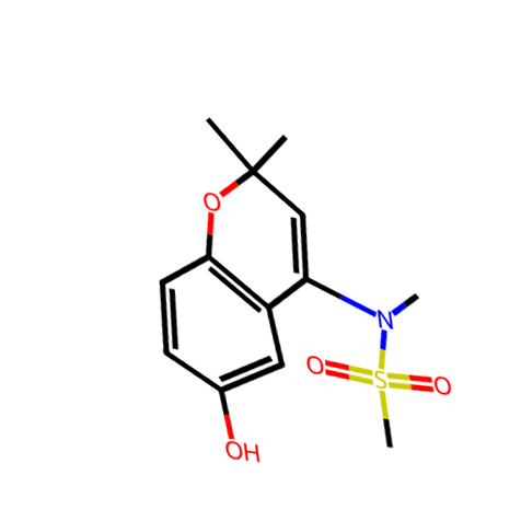 CN(C1=CC(C)(C)Oc2ccc(O)cc21)S(C)(=O)=O